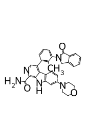 Cc1c(-c2cnc(C(N)=O)c3[nH]c4cc(N5CCOCC5)ccc4c23)cccc1N1Cc2ccccc2C1=O